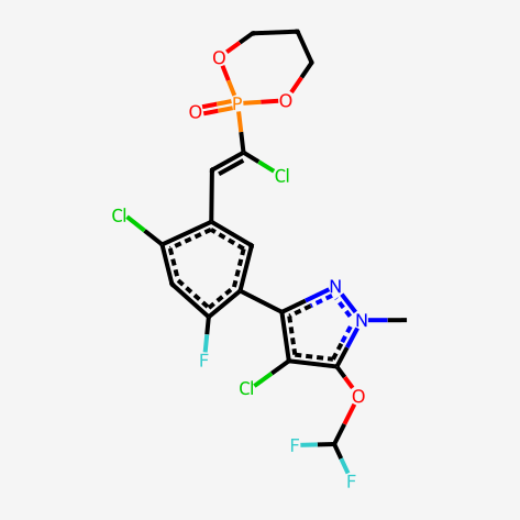 Cn1nc(-c2cc(C=C(Cl)P3(=O)OCCCO3)c(Cl)cc2F)c(Cl)c1OC(F)F